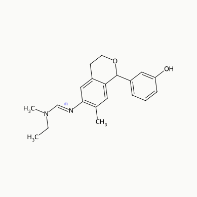 CCN(C)/C=N/c1cc2c(cc1C)C(c1cccc(O)c1)OCC2